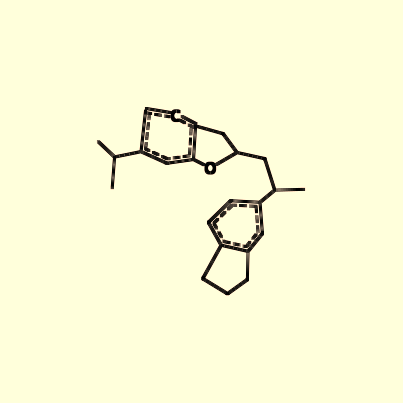 CC(C)c1ccc2c(c1)OC(CC(C)c1ccc3c(c1)CCC3)C2